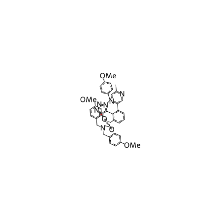 COc1ccc(CN(Cc2ccc(OC)cc2)S(=O)(=O)c2cccc(-c3cnc(C)cn3)c2-c2nnnn2Cc2ccc(OC)cc2)cc1